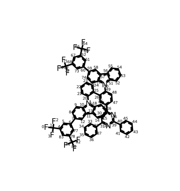 FC(F)(F)c1cc(-c2ccc3c(c2)c2ccccc2n3-c2ccccc2-c2cc(-c3cc(-c4ccccc4)nc(-c4ccccc4)n3)ccc2-n2c3ccccc3c3cc(-c4cc(C(F)(F)F)cc(C(F)(F)F)c4)ccc32)cc(C(F)(F)F)c1